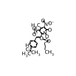 CCCCS(=O)(=O)On1c(C=Cc2ccc(C(C)(C)C)cc2)c([N+](=O)[O-])c(C)c([N+](=O)[O-])c1=O